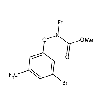 CCN(Oc1cc(Br)cc(C(F)(F)F)c1)C(=O)OC